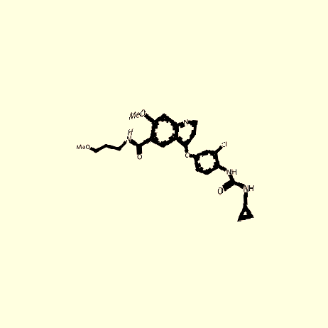 COCCCNC(=O)c1cc2c(Oc3ccc(NC(=O)NC4CC4)c(Cl)c3)ccnc2cc1OC